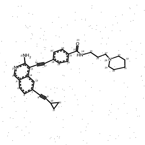 Nc1ncc2ccc(C#CC3CC3)cc2c1C#Cc1ccc(C(=O)NCCCN2CCCCC2)cc1